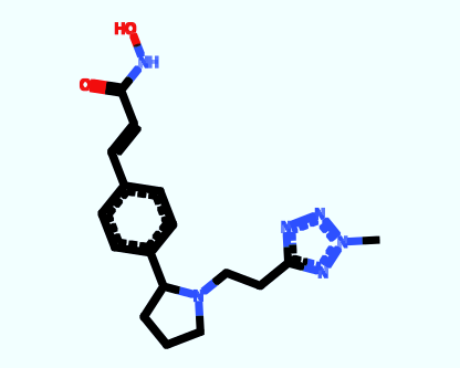 Cn1nnc(CCN2CCCC2c2ccc(/C=C/C(=O)NO)cc2)n1